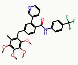 COc1c(C)c(Cc2ccc(C(=O)Nc3ccc(C(F)(F)F)cc3)c(-c3cccnc3)c2)c(OC)c(OC)c1OC